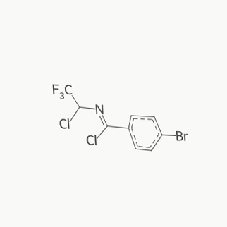 FC(F)(F)C(Cl)N=C(Cl)c1ccc(Br)cc1